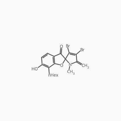 C=C1C(Br)=C(Br)C2(Oc3c(ccc(O)c3CCCCCC)C2=O)N1C